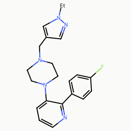 CCn1cc(CN2CCN(c3cccnc3-c3ccc(F)cc3)CC2)cn1